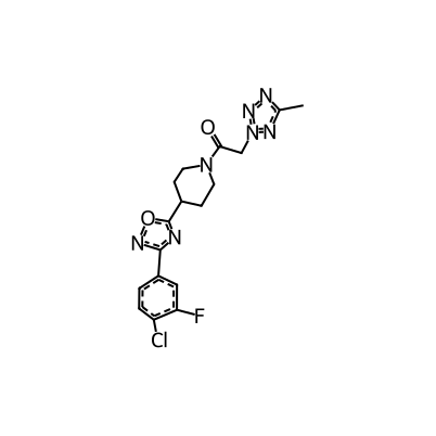 Cc1nnn(CC(=O)N2CCC(c3nc(-c4ccc(Cl)c(F)c4)no3)CC2)n1